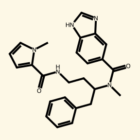 CN(C(=O)c1ccc2[nH]cnc2c1)C(CCNC(=O)c1cccn1C)Cc1ccccc1